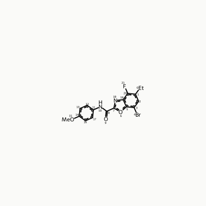 CCc1cc(Br)c2oc(C(=O)Nc3ccc(OC)cc3)nc2c1F